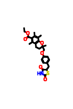 CCOC(=O)c1c(C)c(C)c2c(c1C)CCC(C)(COc1ccc(CC3SC(=O)NC3=O)cc1)O2